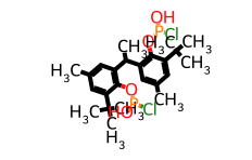 Cc1cc(C(C)c2cc(C)cc(C(C)(C)C)c2OP(O)Cl)c(OP(O)Cl)c(C(C)(C)C)c1